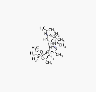 CO[Si](CCCN(CCN/C(=N/C(C)C)NC(C)C)/C(=N\C(C)C)NC(C)C)(OC(C)C)OC(C)C